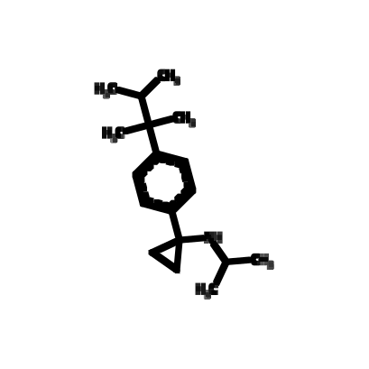 CC(C)NC1(c2ccc(C(C)(C)C(C)C)cc2)CC1